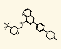 CN1CCN(c2ccc(-c3cc4nccnc4c(NC[C@@H]4CN(S(C)(=O)=O)CCO4)n3)cc2)CC1